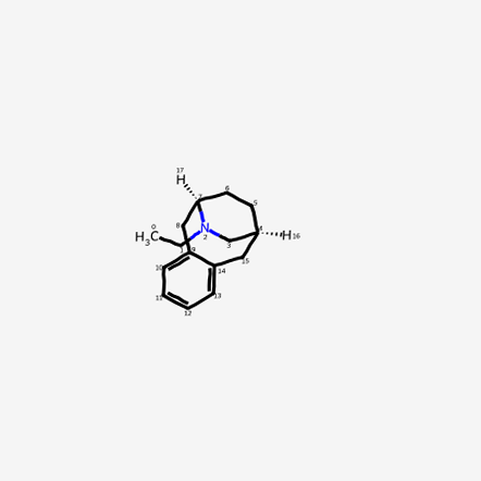 CCN1C[C@H]2CC[C@@H]1Cc1ccccc1C2